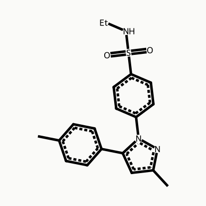 CCNS(=O)(=O)c1ccc(-n2nc(C)cc2-c2ccc(C)cc2)cc1